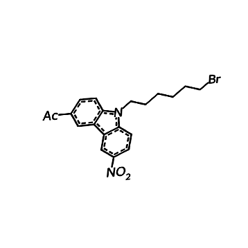 CC(=O)c1ccc2c(c1)c1cc([N+](=O)[O-])ccc1n2CCCCCCBr